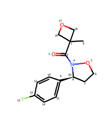 CC1(C(=O)N2OCC[C@H]2c2ccc(F)cc2)COC1